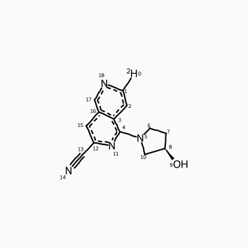 [2H]c1cc2c(N3CC[C@@H](O)C3)nc(C#N)cc2cn1